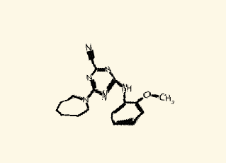 COc1ccccc1Nc1nc(C#N)nc(N2CCCCCC2)n1